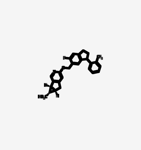 O=C(O)[C@H]1[C@@H]2Cc3cc(OCc4cc5c(cc4F)CCC5c4ccccc4C(F)(F)F)ncc3[C@@H]21